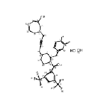 Cc1ccc(C[C@@H]2CN(CC#CCN3CCOCC(F)C3)CCN2C(=O)c2cc(C(F)(F)F)cc(C(F)(F)F)c2)cc1C.Cl.Cl